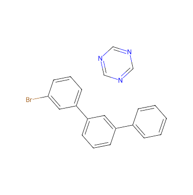 Brc1cccc(-c2cccc(-c3ccccc3)c2)c1.c1ncncn1